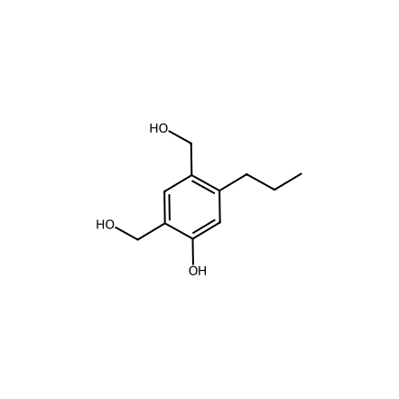 CCCc1cc(O)c(CO)cc1CO